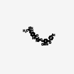 COc1cc(COc2cnc(NC(=O)c3ccc(CNC(C)C(C)(C)C)cc3)s2)ccc1C(=O)N1CCN(C(C)=O)CC1